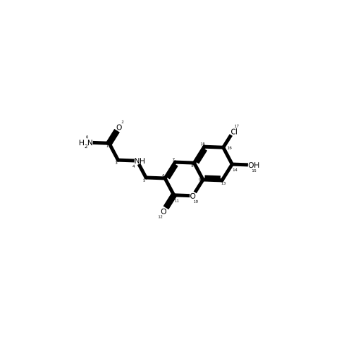 NC(=O)CNCc1cc2c(oc1=O)=CC(O)C(Cl)C=2